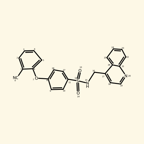 N#Cc1ccccc1Oc1ccc(S(=O)(=O)NCc2ccnc3ccccc23)cc1